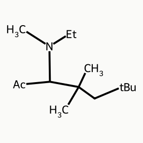 CCN(C)C(C(C)=O)C(C)(C)CC(C)(C)C